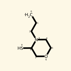 [CH2]CCN1CCOCC1S